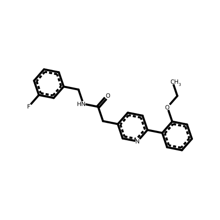 CCOc1ccccc1-c1ccc(CC(=O)NCc2cccc(F)c2)cn1